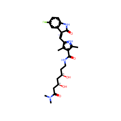 Cc1[nH]c(/C=C2\C(=O)Nc3ccc(F)cc32)c(C)c1C(=O)NCC[C@@H](O)C[C@@H](O)CC(=O)N(C)C